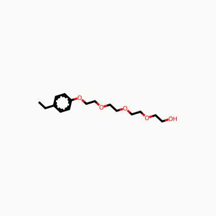 CCc1ccc(OCCOCCOCCOCCO)cc1